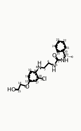 C[C@H](NC(=O)NCCNc1ccc(OCCO)cc1Cl)c1ccccc1